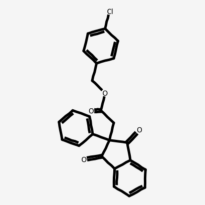 O=C(CC1(c2ccccc2)C(=O)c2ccccc2C1=O)OCc1ccc(Cl)cc1